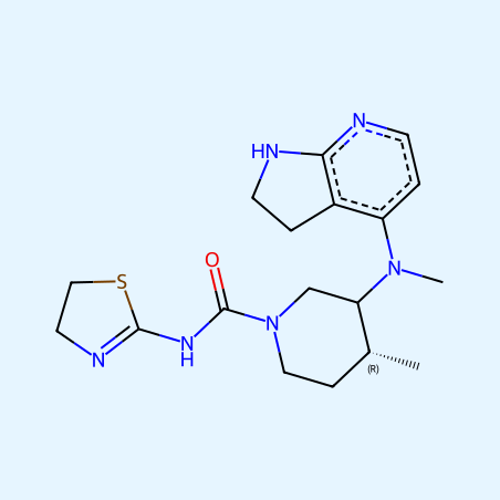 C[C@@H]1CCN(C(=O)NC2=NCCS2)CC1N(C)c1ccnc2c1CCN2